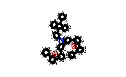 c1ccc(-c2c3ccccc3c(-c3cccc(-n4c5ccc(-c6cccc7c6oc6c(-c8ccccc8)cccc67)cc5c5cc(-c6cccc7c6oc6c(-c8ccccc8)cccc67)ccc54)c3)c3ccccc23)cc1